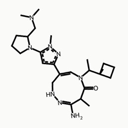 CC1C(=O)N(C(C)C2(C)CCC2)/C=C(/c2cc(N3CCCC3CN(C)C)n(C)n2)CN/N=C\1N